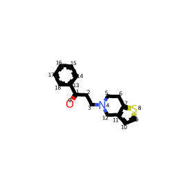 O=C(CCN1CCc2sccc2C1)c1ccccc1